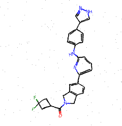 O=C(C1CC(F)(F)C1)N1Cc2ccc(-c3cccc(Nc4ccc(-c5cn[nH]c5)cc4)n3)cc2C1